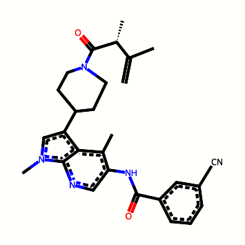 C=C(C)[C@@H](C)C(=O)N1CCC(c2cn(C)c3ncc(NC(=O)c4cccc(C#N)c4)c(C)c23)CC1